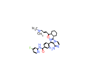 CN(C)C/C=C/C(=O)C1CCCC[C@H]1c1nc(-c2ccc(C(=O)Nc3cc(F)ccn3)cc2)c2c(N)nccn12